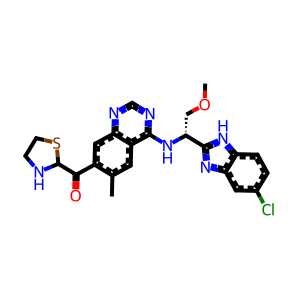 COC[C@@H](Nc1ncnc2cc(C(=O)C3NCCS3)c(C)cc12)c1nc2cc(Cl)ccc2[nH]1